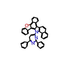 C1=C(n2c3c4ccccc4ccc3c3c4ccccc4c4oc5ccccc5c4c32)N=C(c2ccccc2)N=C(c2ccccc2)C1